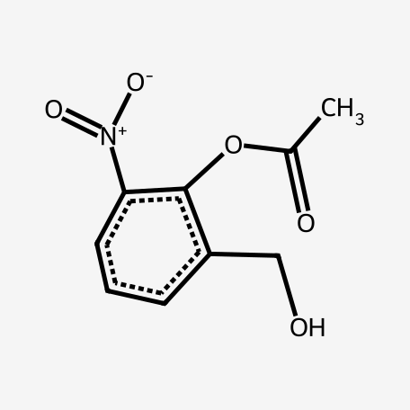 CC(=O)Oc1c(CO)cccc1[N+](=O)[O-]